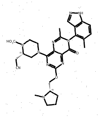 Cc1ccc2[nH]ncc2c1-n1c(C)nc2c(N3CCN(C(=O)O)[C@@H](CC#N)C3)nc(OC[C@@H]3CCCN3C)nc2c1=O